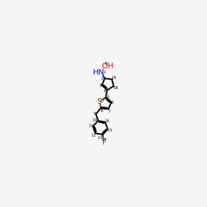 ONC1C=C(c2ccc(Cc3ccc(F)cc3)s2)CC1